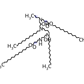 C/C=C/CN(C/C=C/C(=O)OCCCCCCCCCCCCCCC)CC(O)CN(CCCCCCCCCCCCCC)CCCCN(CCCCCCCCCCCCCC)CC(O)CNC/C=C/C(=O)OCCCCCCCCCCCCCCC